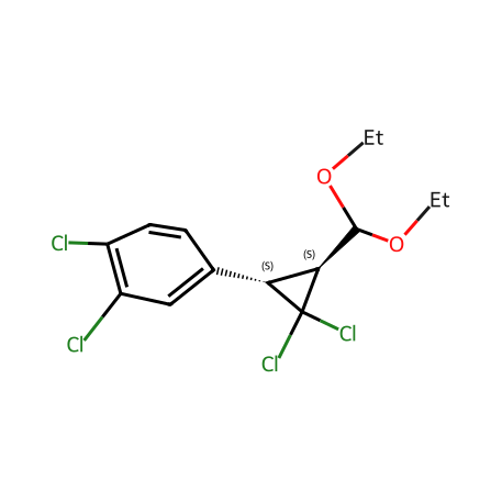 CCOC(OCC)[C@@H]1[C@@H](c2ccc(Cl)c(Cl)c2)C1(Cl)Cl